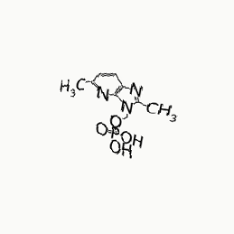 Cc1ccc2nc(C)n(COP(=O)(O)O)c2n1